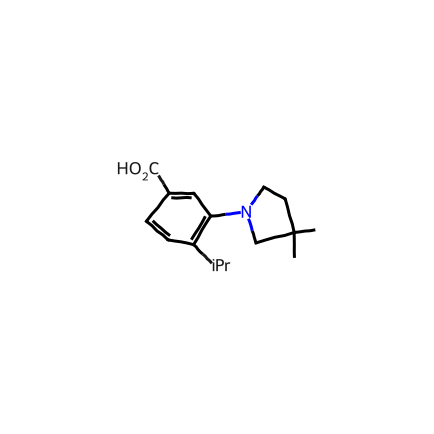 CC(C)c1ccc(C(=O)O)cc1N1CCC(C)(C)C1